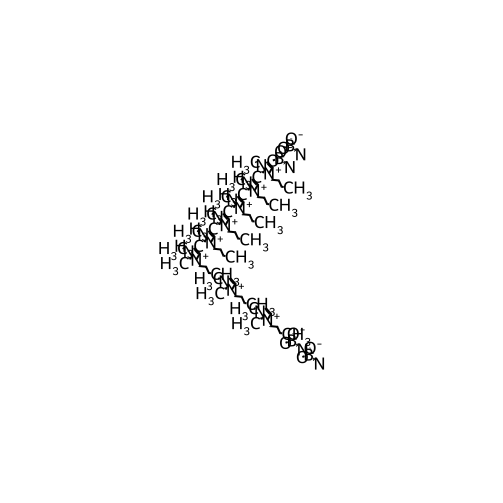 CCCC[n+]1ccn(C)c1C.CCCC[n+]1ccn(C)c1C.CCCC[n+]1ccn(C)c1C.CCCC[n+]1ccn(C)c1C.CCCC[n+]1ccn(C)c1C.CCCC[n+]1ccn(C)c1C.CCCC[n+]1ccn(C)c1C.CCCC[n+]1ccn(C)c1C.N#CB([O-])[O-].N#CB([O-])[O-].N#CB([O-])[O-].N#CB([O-])[O-]